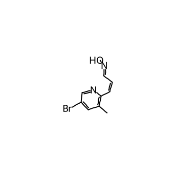 Cc1cc(Br)cnc1/C=C\C=N\O